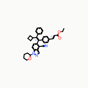 CCOC(=O)/C=C/c1ccc(/C(=C(\c2ccccc2)C2CCC2)c2ccc3c(cnn3C3CCCCO3)c2C#N)cc1